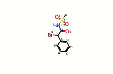 CS(=O)(=O)NC(=O)C(Br)c1ccccc1